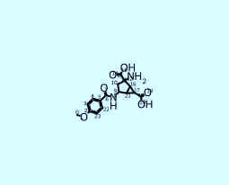 COc1ccc(C(=O)NC2CC(N)(C(=O)O)C3C(C(=O)O)C23)cc1